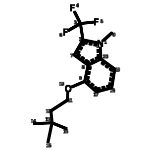 Cn1c(C(F)(F)F)cc2c(OCCC(C)(C)C)cccc21